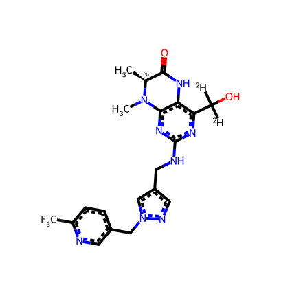 [2H]C([2H])(O)c1nc(NCc2cnn(Cc3ccc(C(F)(F)F)nc3)c2)nc2c1NC(=O)[C@H](C)N2C